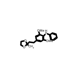 COc1cc(CCC2(C)OCCO2)cc(OC)c1Pc1ccccc1